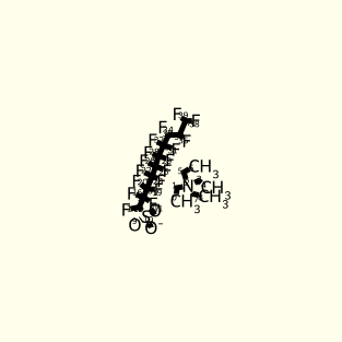 CC[N+](CC)(CC)CC.O=S(=O)([O-])C(F)C(F)(F)C(F)(F)C(F)(F)C(F)(F)C(F)(F)C(F)(F)C(F)C(F)C(F)F